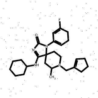 CC1CC2(CCN1CC1=CCCC1)C(NC1CCCCC1)=NC(=O)N2C1=CCCC(F)=C1